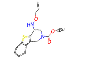 C=CCONC1CN(C(=O)OC(C)(C)C)Cc2c1sc1ccccc21